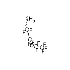 CCCCCc1cc(F)c(C#Cc2ccc(C(F)(F)OC3=CC(F)C(c4cc(F)c(F)c(F)c4)C(F)=C3)cc2)c(F)c1